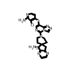 Nc1nccc(Sc2cnc(N3CCC4(CC3)Cc3nccnc3[C@H]4N)n3cnnc23)c1Cl